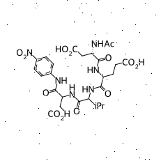 CC(=O)N[C@@H](CC(=O)O)C(=O)NC(CCC(=O)O)C(=O)NC(C(=O)NC(CC(=O)O)C(=O)Nc1ccc([N+](=O)[O-])cc1)C(C)C